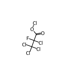 O=C(OCl)C(F)(Cl)C(Cl)(Cl)Cl